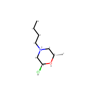 CCCCN1C[C@H](C)O[C@@H](Cl)C1